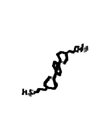 CCCC[C@H]1CC[C@H](C23CCC([C@H]4CC[C@H](CCC)CC4)(CC2)CC3)CC1